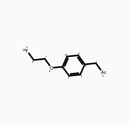 CC(=O)Cc1ccc(OCC[18F])cc1